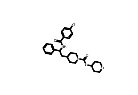 O=C(NC(CC1CCN(C(=O)OC2CCOCC2)CC1)c1ccccc1)c1ccc(Cl)cc1